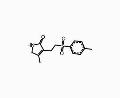 CC1=C(CCS(=O)(=O)c2ccc(C)cc2)C(=O)NC1